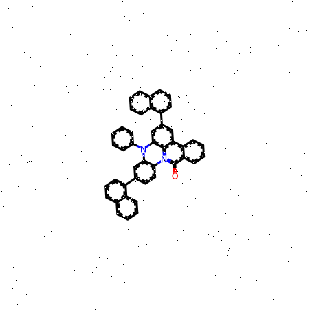 O=c1c2ccccc2c2cc(-c3cccc4ccccc34)cc3c2n1-c1ccc(-c2cccc4ccccc24)cc1N3c1ccccc1